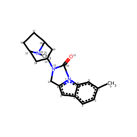 Cc1ccc2cc3n(c2c1)C(=O)N(C1CC2CCC(C1)N2C)C3